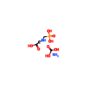 N.O=C(O)CNCP(=O)(O)O.O=C(O)O